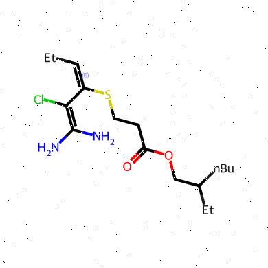 CC/C=C(/SCCC(=O)OCC(CC)CCCC)C(Cl)=C(N)N